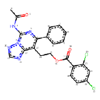 CC(=O)Nc1nc(-c2ccccc2)c(CCOC(=O)c2ccc(Cl)cc2Cl)c2ncnn12